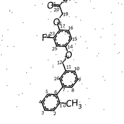 Cc1ccccc1-c1cccc(COc2ccc(OCC(=O)O)c(F)c2)c1